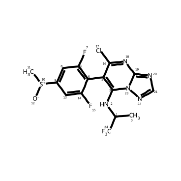 CC(Nc1c(-c2c(F)cc([S+](C)[O-])cc2F)c(Cl)nc2ncnn12)C(F)(F)F